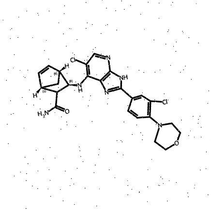 NC(=O)C1[C@@H]2C=C[C@@H](C2)[C@H]1Nc1c(Cl)cnc2[nH]c(-c3ccc(N4CCOCC4)c(Cl)c3)nc12